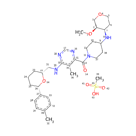 CO[C@H]1COCC[C@H]1NC1CCN(C(=O)c2ncnc(NC[C@H]3CCC[C@@H](c4ccc(C)cc4)O3)c2C)CC1.CS(=O)(=O)O